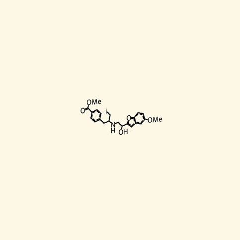 COC(=O)c1ccc(CC(CI)NCC(O)c2cc3cc(OC)ccc3o2)cc1